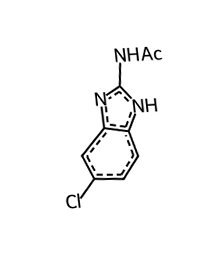 CC(=O)Nc1nc2cc(Cl)ccc2[nH]1